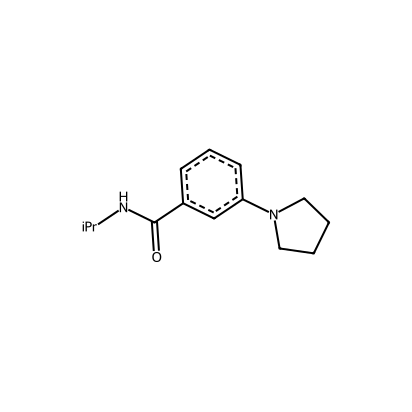 CC(C)NC(=O)c1cccc(N2CCCC2)c1